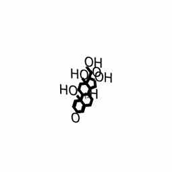 CC12C=CC(=O)C=C1CC[C@@H]1C2C(O)CC2(C)C1CC(O)C2(O)C(=O)CO